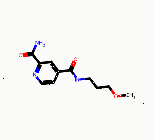 COCCCNC(=O)c1ccnc(C(N)=O)c1